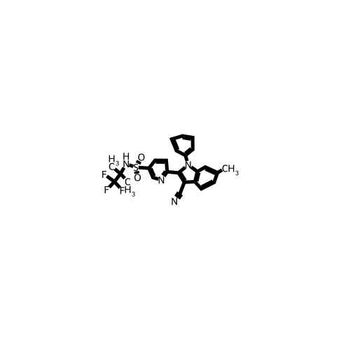 Cc1ccc2c(C#N)c(-c3ccc(S(=O)(=O)NC(C)(C)C(F)(F)F)cn3)n(-c3ccccc3)c2c1